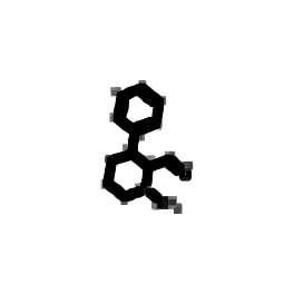 NN1CCCC(c2ccccc2)C1C=O